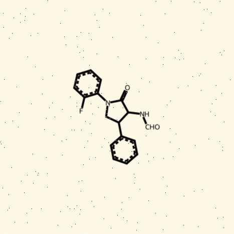 O=CNC1C(=O)N(c2ccccc2F)CC1c1ccccc1